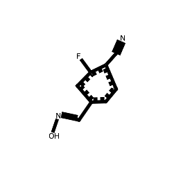 N#Cc1ccc(/C=N/O)cc1F